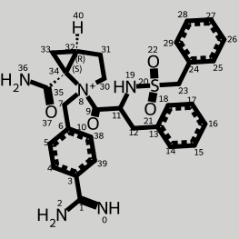 N=C(N)c1ccc(C[N+]2(C(=O)C(Cc3ccccc3)NS(=O)(=O)Cc3ccccc3)CC[C@@H]3C[C@@]32C(N)=O)cc1